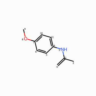 C=C(C)Nc1ccc(OC)cc1